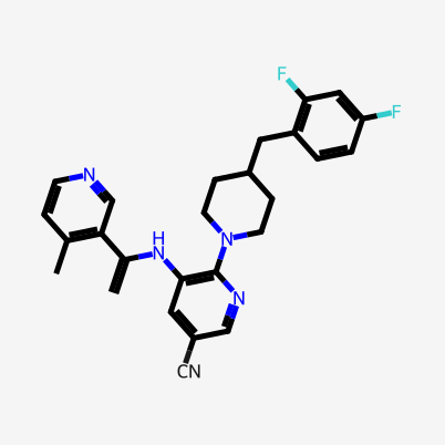 C=C(Nc1cc(C#N)cnc1N1CCC(Cc2ccc(F)cc2F)CC1)c1cnccc1C